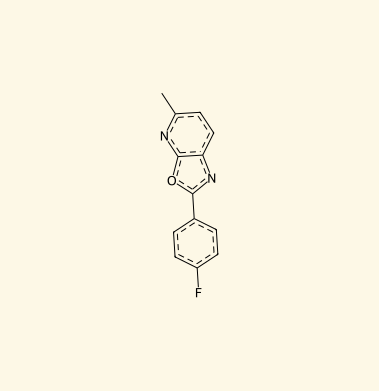 Cc1ccc2nc(-c3ccc(F)cc3)oc2n1